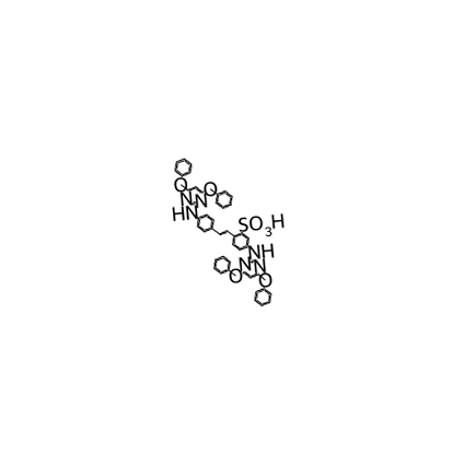 O=S(=O)(O)c1cc(Nc2nc(Oc3ccccc3)cc(Oc3ccccc3)n2)ccc1C=Cc1ccc(Nc2nc(Oc3ccccc3)cc(Oc3ccccc3)n2)cc1